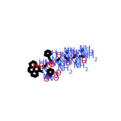 N=C(N)NC(NC(=O)C(NC(=N)N)NC(=O)C(NC(=N)N)NC(=O)C(NC(=N)N)NC(=O)C(NC(=O)C(O)N(CC1=CC2=C3C(=CC=C4C=CC=C1C43)CC=C2)c1ccc([N+](=O)[O-])c2nonc12)c1ccccc1)C(N)=O